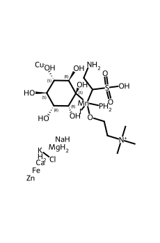 C[N+](C)(C)CC[O][Mn]([PH2])([I])([CH](CN)S(=O)(=O)O)[C@]1(O)[C@H](O)[C@H](O)[C@@H](O)[C@H](O)[C@H]1O.[CaH2].[Cl][K].[Cu].[Fe].[MgH2].[NaH].[Zn]